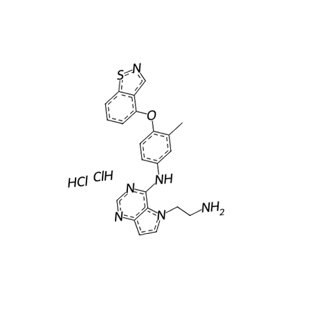 Cc1cc(Nc2ncnc3ccn(CCN)c23)ccc1Oc1cccc2sncc12.Cl.Cl